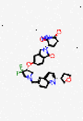 O=C1CCC(N2Cc3cc(O[C@@H]4CN(Cc5ccc6nc([C@@H]7CCOC7)ccc6c5)CC4(F)F)ccc3C2=O)C(=O)N1